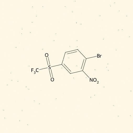 O=[N+]([O-])c1cc(S(=O)(=O)C(F)(F)F)ccc1Br